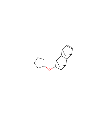 C1=CC2CC1C1C3CC(OC4CCCC4)C(C3)C21